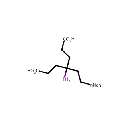 CCCCCCCCCCCC(P)(CCC(=O)O)CCC(=O)O